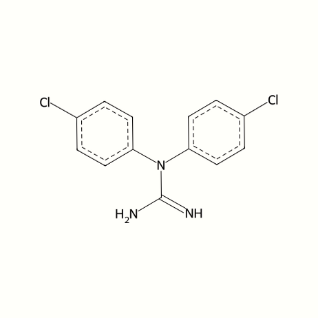 N=C(N)N(c1ccc(Cl)cc1)c1ccc(Cl)cc1